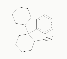 N#CC1CCCCC1(c1ccccc1)C1CCCCC1